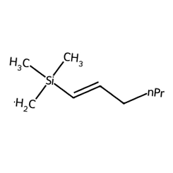 [CH2][Si](C)(C)C=CCCCC